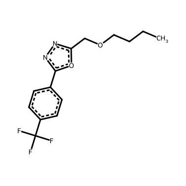 CCCCOCc1nnc(-c2ccc(C(F)(F)F)cc2)o1